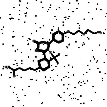 CCCOCCOc1ccc(-c2cc(=O)[nH]c(-c3cc(CCCCC(N)=O)ccc3C(F)(F)F)n2)cn1